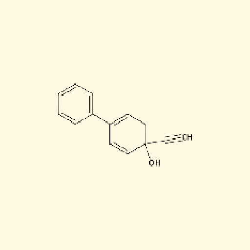 C#CC1(O)C=CC(c2ccccc2)=CC1